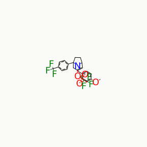 COc1ccc(CN2C3C=C(OS(=O)(=O)C(F)(F)F)CC2(c2ccc(C(F)(F)F)cc2)CC3)cc1